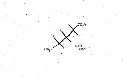 O=C(O)C(F)(F)C(F)(F)C(F)(F)C(=O)O.[NaH].[NaH]